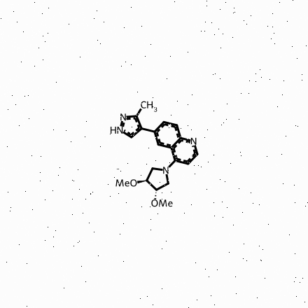 CO[C@H]1CN(c2ccnc3ccc(-c4c[nH]nc4C)cc23)C[C@@H]1OC